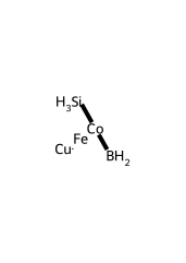 [BH2][Co][SiH3].[Cu].[Fe]